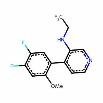 COc1cc(F)c(F)cc1-c1ccncc1NCC(F)(F)F